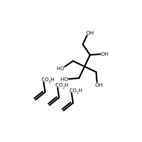 C=CC(=O)O.C=CC(=O)O.C=CC(=O)O.OCC(O)C(CO)(CO)CO